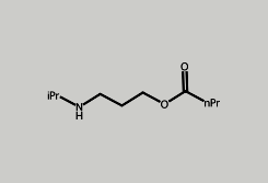 CCCC(=O)OCCCNC(C)C